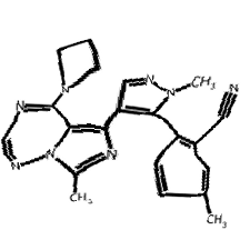 Cc1ccc(-c2c(-c3nc(C)n4ncnc(N5CCC5)c34)cnn2C)c(C#N)c1